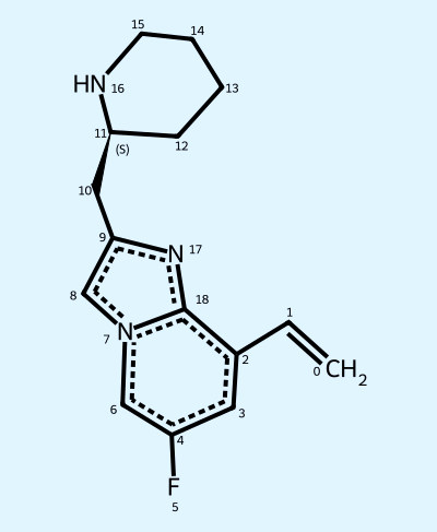 C=Cc1cc(F)cn2cc(C[C@@H]3CCCCN3)nc12